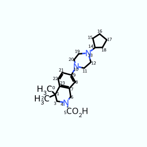 CC1(C)CN(C(=O)O)Cc2cc(N3CCN(C4CCCC4)CC3)ccc21